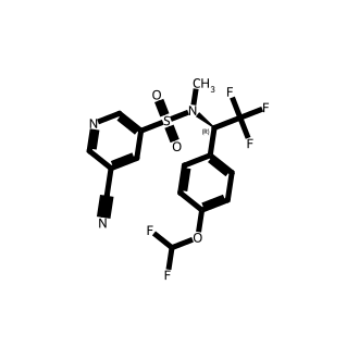 CN([C@H](c1ccc(OC(F)F)cc1)C(F)(F)F)S(=O)(=O)c1cncc(C#N)c1